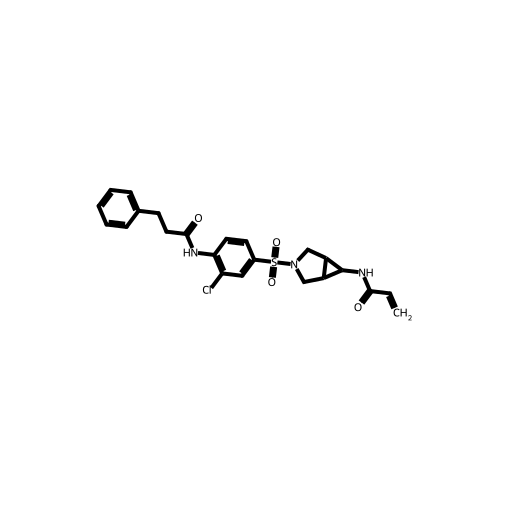 C=CC(=O)NC1C2CN(S(=O)(=O)c3ccc(NC(=O)CCc4ccccc4)c(Cl)c3)CC21